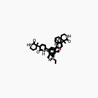 CCn1ncc2c(F)cc(-c3ccc(C4(C)C(=O)NCCC45CC=CC(n4ncc6c(F)cc(-c7ccc(C8(C)CCCNC8=O)c(=O)[nH]7)cc64)C5)c(O)n3)cc21